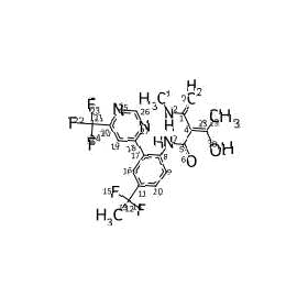 C=C(NC)/C(C(=O)Nc1ccc(C(C)(F)F)cc1-c1cc(C(F)(F)F)ncn1)=C(\C)O